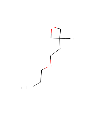 CCCCCCCCOCCC1(CC)COC1